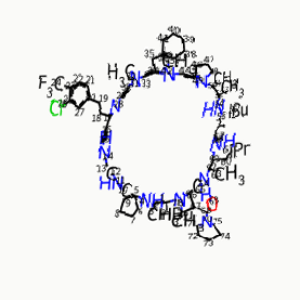 CCCC[C@H]1C(C)NC2(CCCC2)CNCCNC=CC(CCc2ccc(C(F)(F)F)c(Cl)c2)=NC=CN(C)C=C(CC2CCCCC2)N(C)C=C2CCCN2[C@@H](C)C(C)N[C@@H]([C@@H](C)CC)CN[C@@H](CC(C)C)C(C)NCC2[C@@H](C(=O)N3CCCCC3)C(C)N21